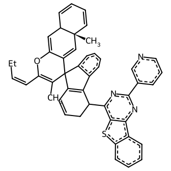 CC/C=C\C1=C(C)C2(C3=C[C@@]4(C)C=CC=CC4C=C3O1)C1=C(c3ccccc32)C(c2nc(-c3cccnc3)nc3c2sc2ccccc23)CC=C1